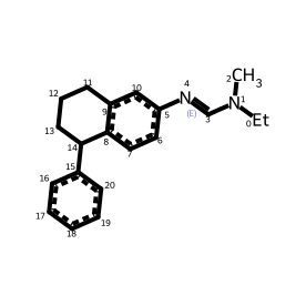 CCN(C)/C=N/c1ccc2c(c1)CCCC2c1ccccc1